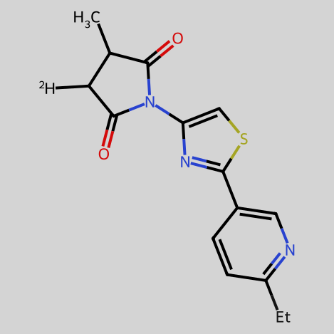 [2H]C1C(=O)N(c2csc(-c3ccc(CC)nc3)n2)C(=O)C1C